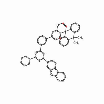 CC1(C)c2ccccc2C2(c3ccccc3Oc3cc(-c4cccc(-c5nc(-c6ccccc6)nc(-c6ccc7c(c6)sc6ccccc67)n5)c4)ccc32)c2ccccc21